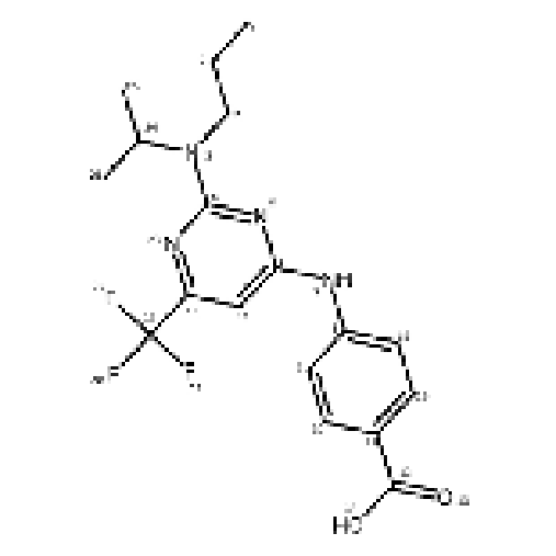 CCCN(c1nc(Nc2ccc(C(=O)O)cc2)cc(C(F)(F)F)n1)C(C)C